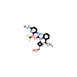 Cc1ccc(NC(=O)N(c2ccccc2C(C)C)[C@H]2C[C@@H](CO)C2)c(OC(F)F)n1